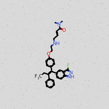 CN(C)C(=O)C=CCNCCOc1ccc(C(=C(CC(F)(F)F)c2ccccc2)c2ccc3[nH]nc(F)c3c2)cc1